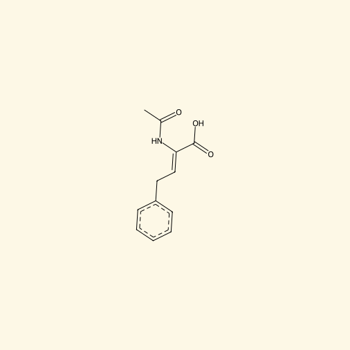 CC(=O)NC(=CCc1ccccc1)C(=O)O